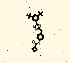 CC(C)(C)c1cc(-c2nc(Cc3ccc(NC(=O)C4CCC4)cc3)no2)cc(C(C)(C)C)c1